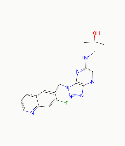 CC(C)(O)CNc1cnc2nnn(Cc3cc4cccnc4cc3F)c2n1